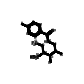 Cc1ccc(C(=O)NCC(C)C(C)N(CC(F)(F)F)C(=O)O)cc1